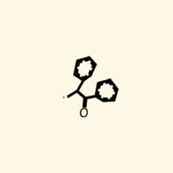 [CH2]C(C(=O)c1ccccc1)c1ccccc1